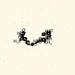 Cc1cc(S(=O)(=O)NCCO[C@H]2C[C@H](CN3CCC(c4ccc5c(c4)n(C)c(=O)n5C4CCC(=O)NC4=O)CC3)C2)ccc1Nc1ncc2cc(Cl)c(=O)n(C3CCCC3)c2n1